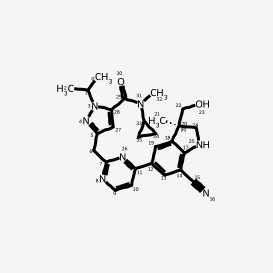 CC(C)n1nc(Cc2nccc(-c3cc(C#N)c4c(c3)[C@@](C)(CO)CN4)n2)cc1C(=O)N(C)C1CC1